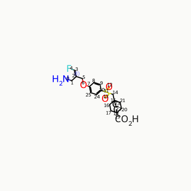 NC/C(=C\F)COc1ccc(S(=O)(=O)CC23CCC(C(=O)O)(CC2)CC3)cc1